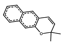 CC1(C)C=Cc2cc3ccccc3cc2O1